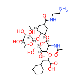 CC[C@@H]1CC(C(=O)NCCN)C[C@@H](O[C@@H]2O[C@@H](CO)[C@H](O)C(OC(CC3CCCCC3)C(=O)O)C2NC(C)=O)C1O[C@@H]1OC(C)[C@@H](O)C(O)[C@@H]1O